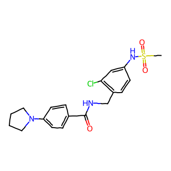 CS(=O)(=O)Nc1ccc(CNC(=O)c2ccc(N3CCCC3)cc2)c(Cl)c1